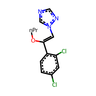 CCCOC(=Cn1cncn1)c1ccc(Cl)cc1Cl